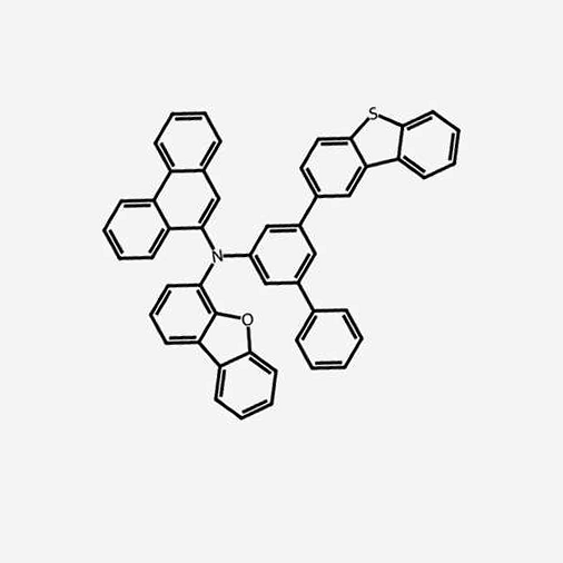 c1ccc(-c2cc(-c3ccc4sc5ccccc5c4c3)cc(N(c3cc4ccccc4c4ccccc34)c3cccc4c3oc3ccccc34)c2)cc1